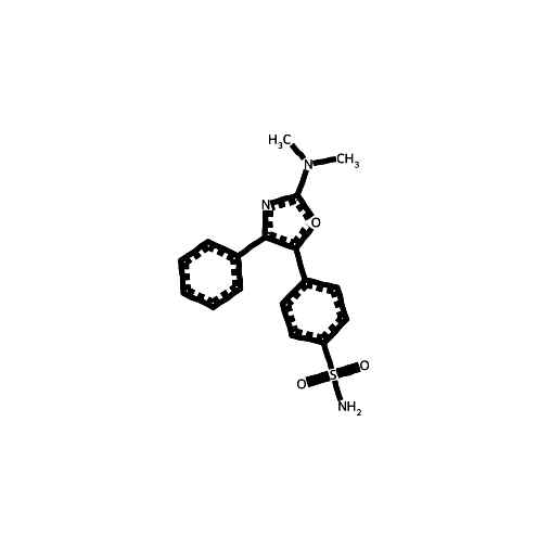 CN(C)c1nc(-c2ccccc2)c(-c2ccc(S(N)(=O)=O)cc2)o1